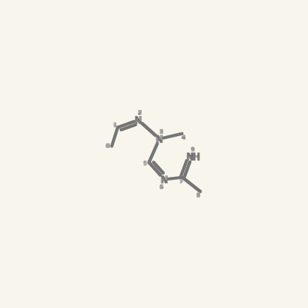 C/C=N\N(C)/C=N\C(C)=N